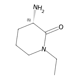 CCN1CCC[C@H](N)C1=O